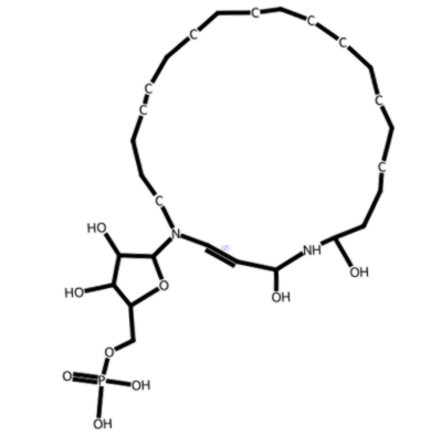 O=P(O)(O)OCC1OC(N2/C=C\C(O)NC(O)CCCCCCCCCCCCCCCCCC2)C(O)C1O